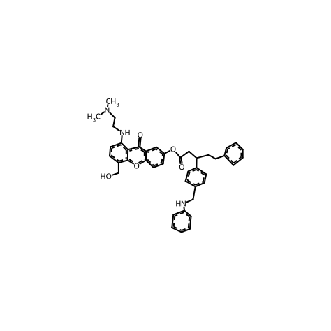 CN(C)CCNc1ccc(CO)c2oc3ccc(OC(=O)CC(CCc4ccccc4)c4ccc(CNc5ccccc5)cc4)cc3c(=O)c12